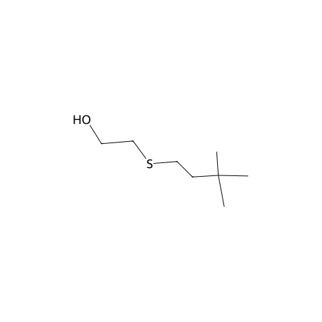 CC(C)(C)CCSCCO